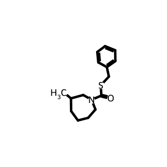 CC1CCCCN(C(=O)SCc2ccccc2)C1